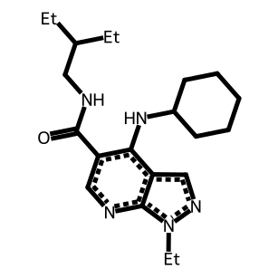 CCC(CC)CNC(=O)c1cnc2c(cnn2CC)c1NC1CCCCC1